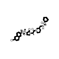 C[C@H](C(=O)N1CCCC(CNS(=O)(=O)c2ccccc2)C1)N1CC[C@H](N(C)S(=O)(=O)c2ccc3cc(Cl)ccc3c2)C1=O